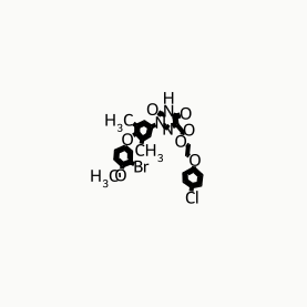 COc1ccc(Oc2c(C)cc(-n3nc(C(=O)OCCOc4ccc(Cl)cc4)c(=O)[nH]c3=O)cc2C)cc1Br